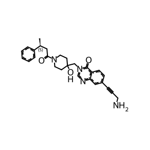 C[C@@H](CC(=O)N1CCC(O)(Cn2cnc3cc(C#CCN)ccc3c2=O)CC1)c1ccccc1